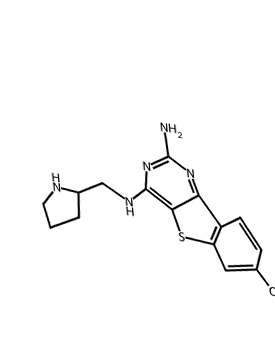 Nc1nc(NCC2CCCN2)c2sc3cc(Cl)ccc3c2n1